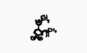 CNCc1cc([N+](=O)[O-])ccc1-c1cnn(C)c1